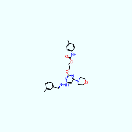 Cc1ccc(NC(=O)OCCOc2nc(N/N=C/c3cccc(C)c3)cc(N3CCOCC3)n2)cc1